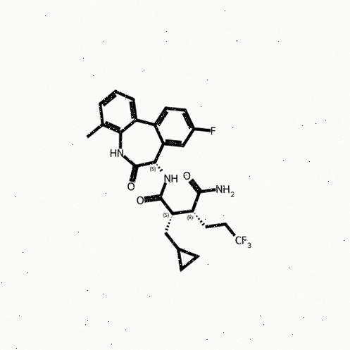 Cc1cccc2c1NC(=O)[C@@H](NC(=O)[C@@H](CC1CC1)[C@@H](CCC(F)(F)F)C(N)=O)c1cc(F)ccc1-2